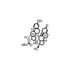 C#C[C@]1(O)CC[C@H]2[C@@H]3CCC4=CC(=O)CC[C@@H]4[C@H]3CC[C@@]21CC.CCCCC(=O)O[C@H]1CC[C@H]2[C@@H]3CCc4cc(O)ccc4[C@H]3CC[C@]12C